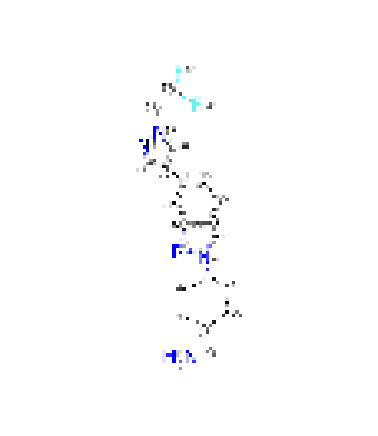 NCC1CCC(n2cc3ccc(-c4cnn(CC(F)F)c4)cc3n2)CC1